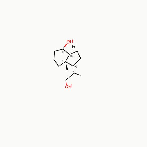 CC(CO)[C@H]1CC[C@@H]2[C@H](O)CCC[C@@]12C